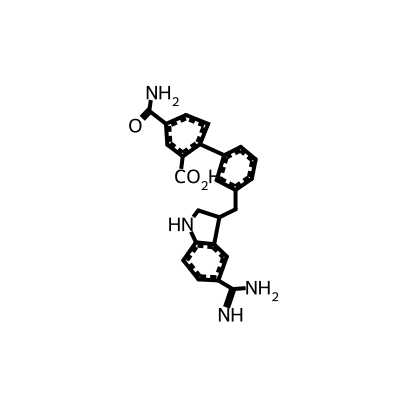 N=C(N)c1ccc2c(c1)C(Cc1cccc(-c3ccc(C(N)=O)cc3C(=O)O)c1)CN2